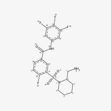 NCC1CCCCN1S(=O)(=O)c1cc(C(=O)Nc2cc(F)c(F)c(F)c2)ccc1F